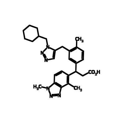 Cc1ccc(C(CC(=O)O)c2ccc3c(nnn3C)c2C)cc1Cc1cnnn1CC1CCCCC1